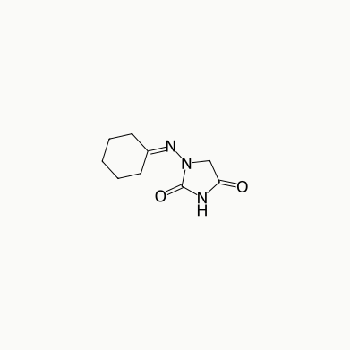 O=C1CN(N=C2CCCCC2)C(=O)N1